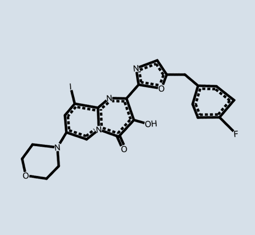 O=c1c(O)c(-c2ncc(Cc3ccc(F)cc3)o2)nc2c(I)cc(N3CCOCC3)cn12